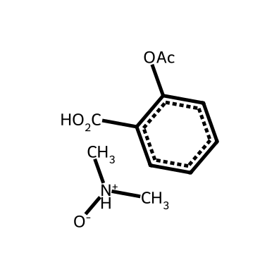 CC(=O)Oc1ccccc1C(=O)O.C[NH+](C)[O-]